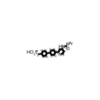 CCCC(=O)Nc1ccnc(-c2ccc(-c3ccc(CC(=O)O)cc3)cc2)c1